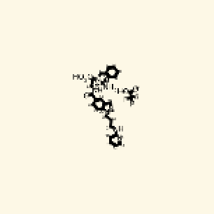 NS(=O)(=O)N(Cc1ccccc1)C(CNC(=O)c1ccc2c(cnn2CCCNc2ccccn2)c1)C(=O)O.O=C(O)C(F)(F)F